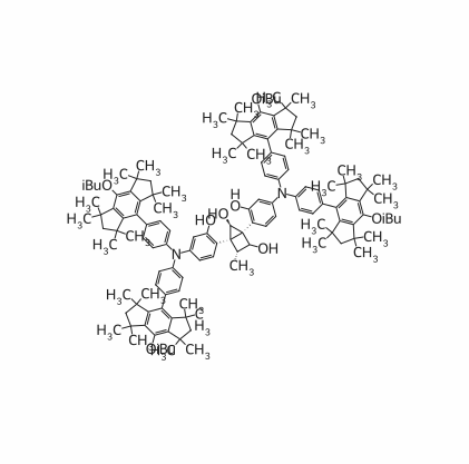 CC(C)COc1c2c(c(-c3ccc(N(c4ccc(-c5c6c(c(OCC(C)C)c7c5C(C)(C)CC7(C)C)C(C)(C)CC6(C)C)cc4)c4ccc([C@]56[C@@H](O)[C@@]5(c5ccc(N(c7ccc(-c8c9c(c(OCC(C)C)c%10c8C(C)(C)CC%10(C)C)C(C)(C)CC9(C)C)cc7)c7ccc(-c8c9c(c(OCC(C)C)c%10c8C(C)(C)CC%10(C)C)C(C)(C)CC9(C)C)cc7)cc5O)C(O)[C@@H]6C)c(O)c4)cc3)c3c1C(C)(C)CC3(C)C)C(C)(C)CC2(C)C